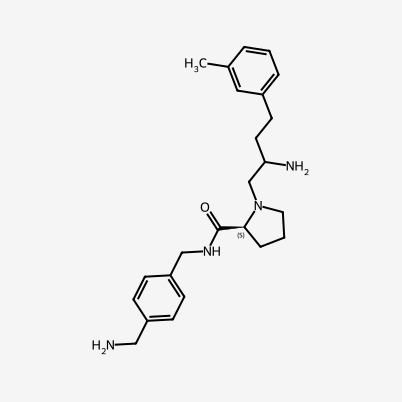 Cc1cccc(CCC(N)CN2CCC[C@H]2C(=O)NCc2ccc(CN)cc2)c1